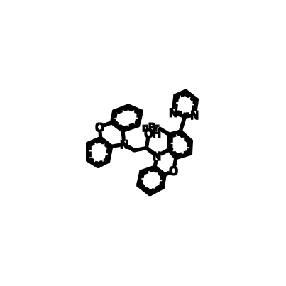 CCCc1c(-c2ncccn2)ccc2c1N(C(O)CN1c3ccccc3Oc3ccccc31)c1ccccc1O2